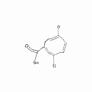 O=C(S)c1cc(Cl)ccc1Cl